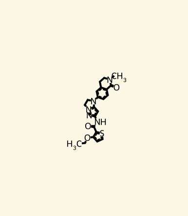 CCOc1ccsc1C(=O)Nc1cc2n(n1)CCN2c1ccc2c(c1)CCN(C)C2=O